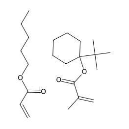 C=C(C)C(=O)OC1(C(C)(C)C)CCCCC1.C=CC(=O)OCCCCC